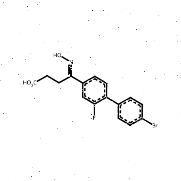 O=C(O)CC/C(=N\O)c1ccc(-c2ccc(Br)cc2)c(F)c1